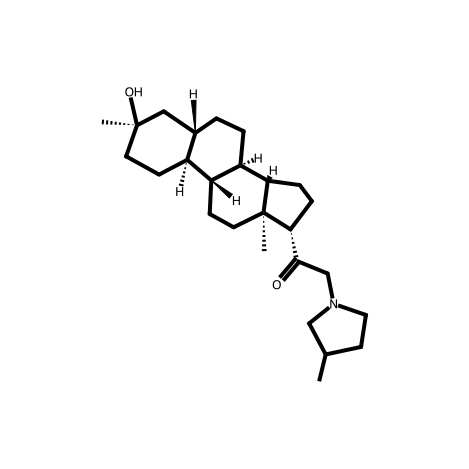 CC1CCN(CC(=O)[C@H]2CC[C@H]3[C@@H]4CC[C@H]5C[C@](C)(O)CC[C@@H]5[C@H]4CC[C@]23C)C1